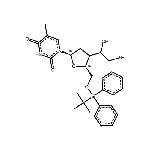 Cc1cn([C@H]2CC(C(O)CS)[C@@H](CO[Si](c3ccccc3)(c3ccccc3)C(C)(C)C)O2)c(=O)[nH]c1=O